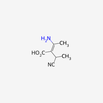 C/C(N)=C(/C(=O)O)C(C)C#N